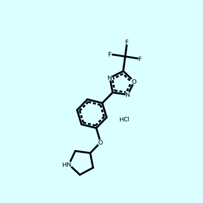 Cl.FC(F)(F)c1nc(-c2cccc(OC3CCNC3)c2)no1